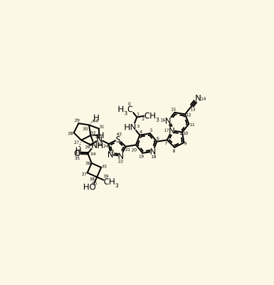 CC(C)Nc1cc(-c2ccc3cc(C#N)cnn23)ncc1-c1nnc(N2C[C@H]3CC[C@@H](C2)[C@@H]3NC(=O)C2CC(C)(O)C2)s1